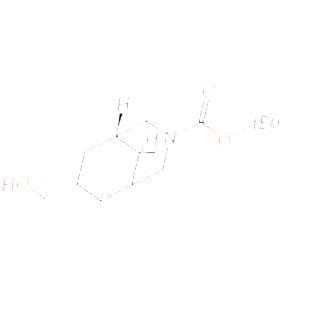 C[C@H]1C2C[C@H](CO)C[C@@H]1CN(C(=O)OC(C)(C)C)C2